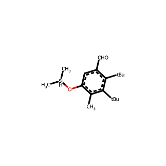 Cc1c(O[SiH](C)C)cc(C=O)c(C(C)(C)C)c1C(C)(C)C